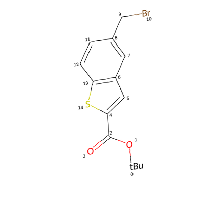 CC(C)(C)OC(=O)c1cc2cc(CBr)ccc2s1